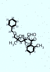 Cc1ccccc1C(=O)N(C=O)C(C)(C)CC(C)(C)COCc1ccccc1